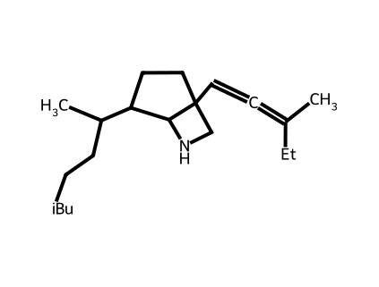 CCC(C)=C=CC12CCC(C(C)CCC(C)CC)C1NC2